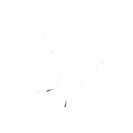 CCCC[C@@H](C)[C@@H](C)C=CC(=O)OCC